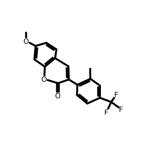 COc1ccc2cc(-c3ccc(C(F)(F)F)cc3C)c(=O)oc2c1